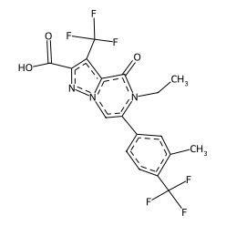 CCn1c(-c2ccc(C(F)(F)F)c(C)c2)cn2nc(C(=O)O)c(C(F)(F)F)c2c1=O